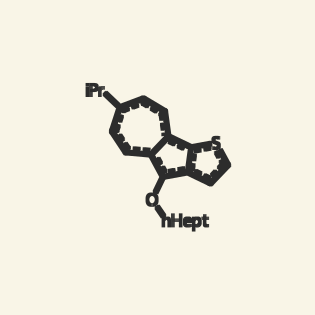 CCCCCCCOc1c2ccc(C(C)C)ccc-2c2sccc12